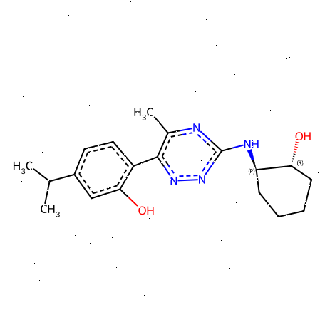 Cc1nc(N[C@@H]2CCCC[C@H]2O)nnc1-c1ccc(C(C)C)cc1O